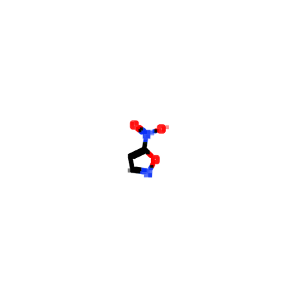 O=[N+]([O-])c1c[c]no1